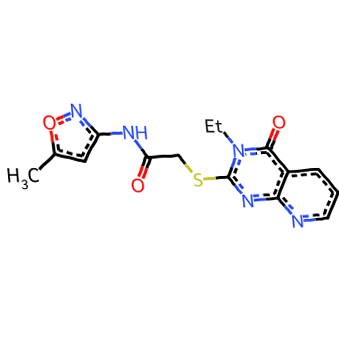 CCn1c(SCC(=O)Nc2cc(C)on2)nc2ncccc2c1=O